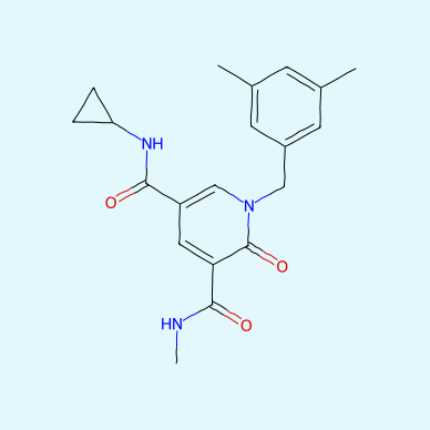 CNC(=O)c1cc(C(=O)NC2CC2)cn(Cc2cc(C)cc(C)c2)c1=O